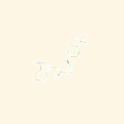 O=C(CC(C(=O)O)c1c[nH]c2ccccc12)c1ccc(C(F)(F)F)cc1